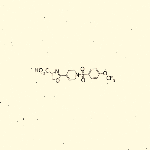 O=C(O)c1coc(C2=CCN(S(=O)(=O)c3ccc(OC(F)(F)F)cc3)CC2)n1